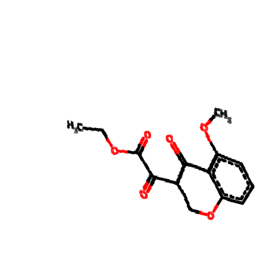 CCOC(=O)C(=O)C1COc2cccc(OC)c2C1=O